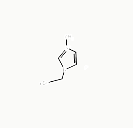 CCCCCn1cc[n+](C)c1.[F-]